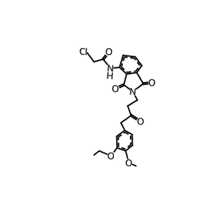 CCOc1cc(CC(=O)CCN2C(=O)c3cccc(NC(=O)CCl)c3C2=O)ccc1OC